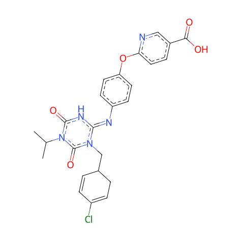 CC(C)n1c(=O)[nH]/c(=N\c2ccc(Oc3ccc(C(=O)O)cn3)cc2)n(CC2C=CC(Cl)=CC2)c1=O